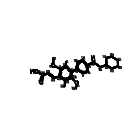 COc1c(C)c(-c2ccc(NCC3CCCCC3)cc2)c(OC)c(C)c1/C=C/C(=O)O